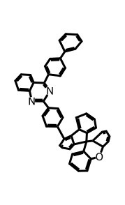 C1=CC2Oc3ccccc3C3(c4ccccc4-c4c(-c5ccc(-c6nc(-c7ccc(-c8ccccc8)cc7)c7ccccc7n6)cc5)cccc43)C2C=C1